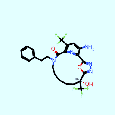 Nc1cc(C(F)(F)F)c2nc1-c1nnc(o1)[C@@](O)(C(F)(F)F)CCCCCN(CCc1ccccc1)C2=O